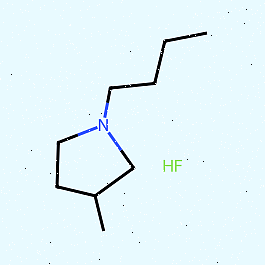 CCCCN1CCC(C)C1.F